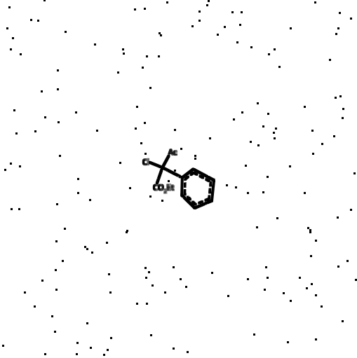 CCOC(=O)C(Cl)(C(C)=O)c1ccccc1